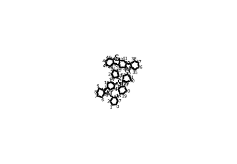 c1ccc(-n2c3ccccc3c3ccc([Si](c4ccccc4)(c4ccccc4)c4cccc(-n5c6ccccc6c6cc7sc8ccccc8c7cc65)c4)cc32)cc1